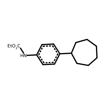 CCOC(=O)Nc1ccc(C2CCCCCC2)cc1